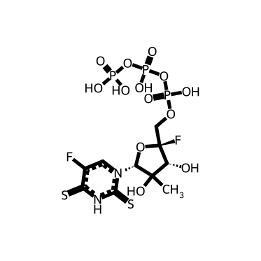 CC1(O)[C@@H](O)[C@@](F)(COP(=O)(O)OP(=O)(O)OP(=O)(O)O)O[C@H]1n1cc(F)c(=S)[nH]c1=S